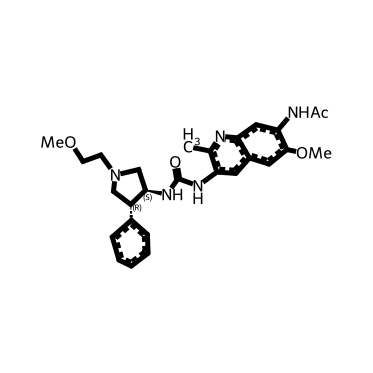 COCCN1C[C@@H](NC(=O)Nc2cc3cc(OC)c(NC(C)=O)cc3nc2C)[C@H](c2ccccc2)C1